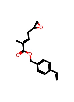 C=Cc1ccc(COC(=O)C(C)=CCC2CO2)cc1